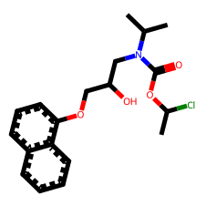 CC(Cl)OC(=O)N(CC(O)COc1cccc2ccccc12)C(C)C